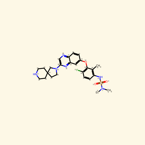 CCN(C)S(=O)(=O)Nc1ccc(F)c(Oc2ccc3ncc(N4CCC5(CCNCC5)C4)nc3c2)c1C